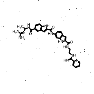 CC(N=C(N)N)NC(=O)c1ccc2[nH]c(C(=O)Nc3ccc4cc(C(=O)NCCNC(=N)c5ccccn5)[nH]c4c3)cc2c1